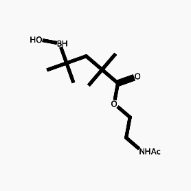 CC(=O)NCCOC(=O)C(C)(C)CC(C)(C)BO